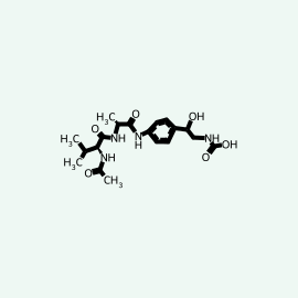 CC(=O)N[C@H](C(=O)N[C@@H](C)C(=O)Nc1ccc(C(O)CNC(=O)O)cc1)C(C)C